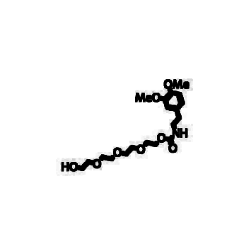 COc1ccc(CCNC(=O)OCCOCCOCCOCCO)cc1OC